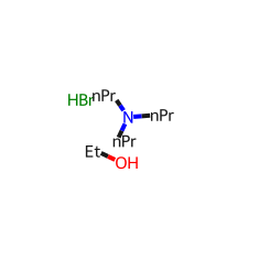 Br.CCCN(CCC)CCC.CCO